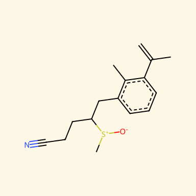 C=C(C)c1cccc(CC(CCC#N)[S+](C)[O-])c1C